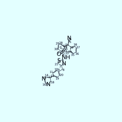 CC1(C(=O)NC2=NC(Cc3ccc(-c4cncnc4)cc3)CS2)CC2(C#N)c3ccccc3C1c1ccccc12